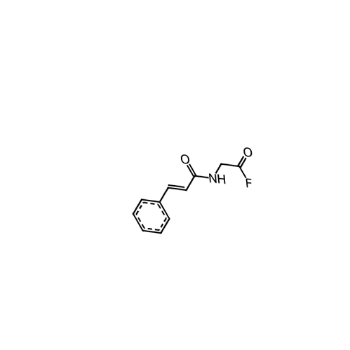 O=C(F)CNC(=O)C=Cc1ccccc1